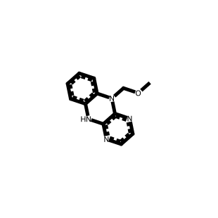 COCN1c2ccccc2Nc2nccnc21